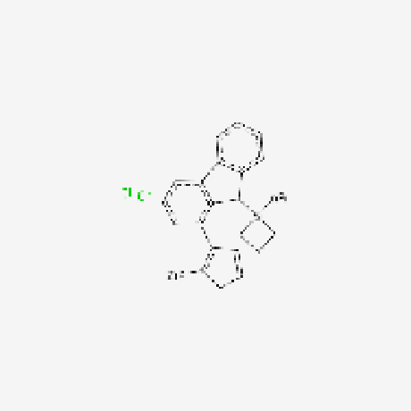 CCC[Si]1(C2c3ccccc3-c3cccc(C4=[C]([Zr+2])CC=C4)c32)CCC1.[Cl-].[Cl-]